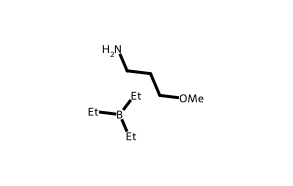 CCB(CC)CC.COCCCN